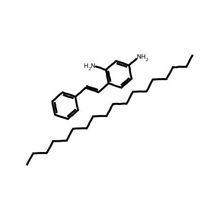 CCCCCCCCCCCCCCCCCC.Nc1ccc(C=Cc2ccccc2)c(N)c1